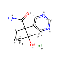 CCC(C(N)=O)(c1cncnc1)C(C)(C)O.Cl